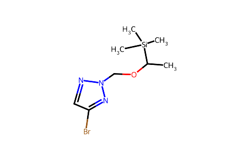 CC(OCn1ncc(Br)n1)[Si](C)(C)C